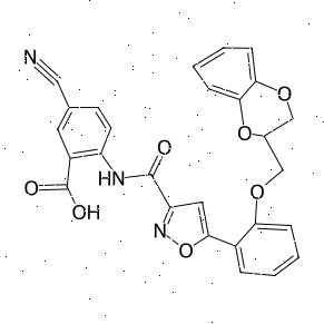 N#Cc1ccc(NC(=O)c2cc(-c3ccccc3OCC3COc4ccccc4O3)on2)c(C(=O)O)c1